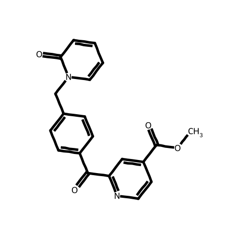 COC(=O)c1ccnc(C(=O)c2ccc(Cn3ccccc3=O)cc2)c1